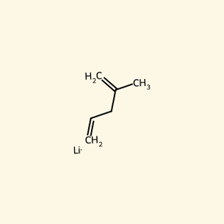 C=CCC(=C)C.[Li]